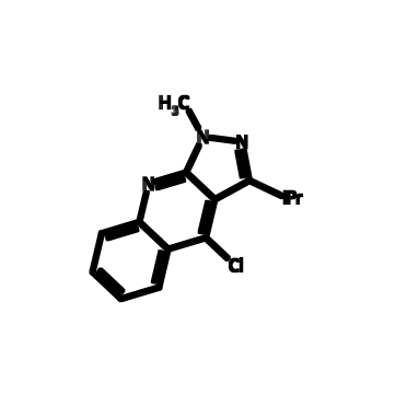 CC(C)c1nn(C)c2nc3ccccc3c(Cl)c12